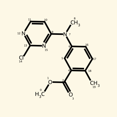 COC(=O)c1cc(N(C)c2ccnc(Cl)n2)ccc1C